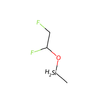 C[SiH2]OC(F)CF